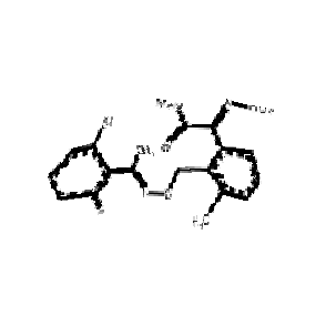 CNC(=O)/C(=N/OC)c1cccc(C)c1CO/N=C(\C)c1c(F)cccc1Cl